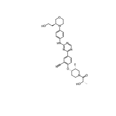 C[C@H](O)C(=O)N1CC[C@H](Oc2ccc(-c3ncnc(Nc4ccc(N5CCOC[C@@H]5CCO)cc4)n3)cc2C#N)[C@H](F)C1